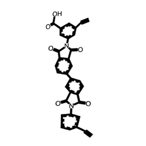 C#Cc1cccc(N2C(=O)c3ccc(-c4ccc5c(c4)C(=O)N(c4cc(C#C)cc(C(=O)O)c4)C5=O)cc3C2=O)c1